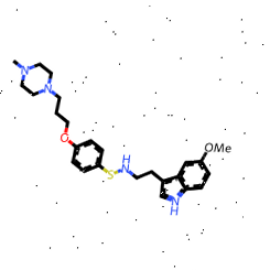 COc1ccc2[nH]cc(CCNSc3ccc(OCCCN4CCN(C)CC4)cc3)c2c1